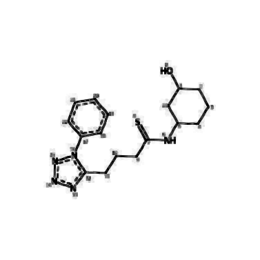 OC1CCCC(NC(=S)CCCc2nnnn2-c2ccccc2)C1